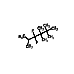 CC(C)C(F)(F)C(C)(C)C(C)(C)C